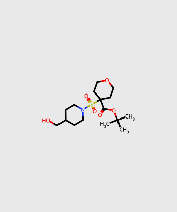 CC(C)(C)OC(=O)C1(S(=O)(=O)N2CCC(CO)CC2)CCOCC1